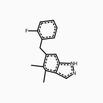 Cc1c(Cc2ccccc2F)cc2[nH]ncc2c1C